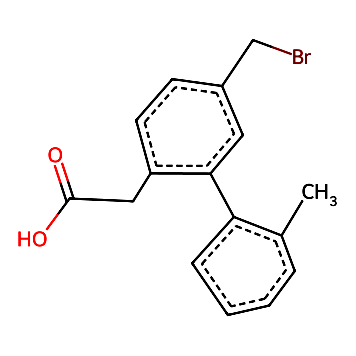 Cc1ccccc1-c1cc(CBr)ccc1CC(=O)O